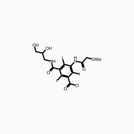 COCC(=O)Nc1c(I)c(C(=O)Cl)c(I)c(C(=O)NCC(O)CO)c1I